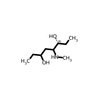 CCC(O)CC(NC)[C@H](O)CC